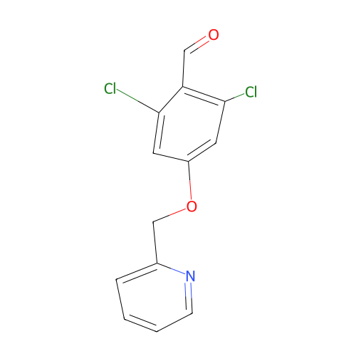 O=Cc1c(Cl)cc(OCc2ccccn2)cc1Cl